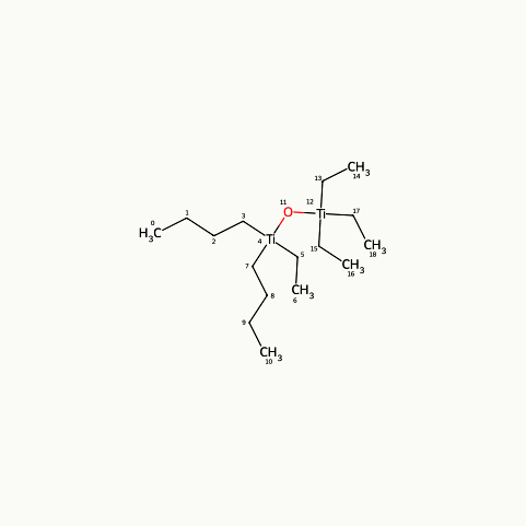 CCC[CH2][Ti]([CH2]C)([CH2]CCC)[O][Ti]([CH2]C)([CH2]C)[CH2]C